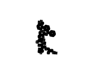 CC(C)(C)OC(=O)CON=C(C(=O)NC1C(=O)N2C=C(CSc3ccc4nncn4n3)C(C(=O)OC(c3ccccc3)c3ccccc3)S[C@H]12)c1cscn1